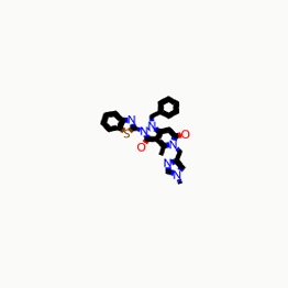 Cc1c2c(=O)n(-c3nc4ccccc4s3)n(Cc3ccccc3)c2cc(=O)n1Cc1cn(C)cn1